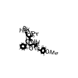 COc1ccc(CSC(C)(C)C(NC(=O)C(CC(=O)NO)CC(C)C)C(=O)Nc2ccccc2)cc1